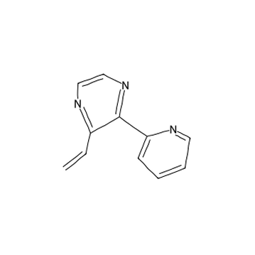 C=Cc1nccnc1-c1ccccn1